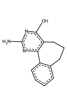 Nc1nc(O)c2c(n1)-c1ccccc1CCC2